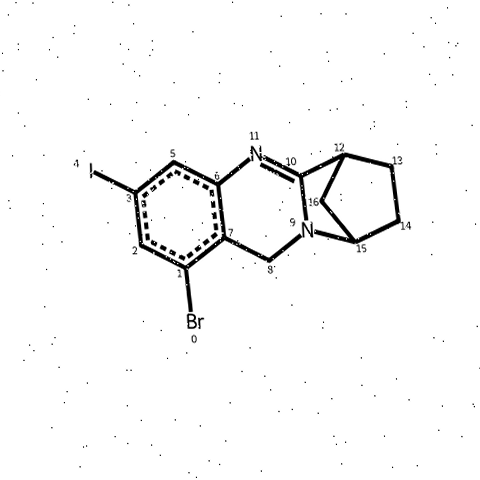 Brc1cc(I)cc2c1CN1C(=N2)C2CCC1C2